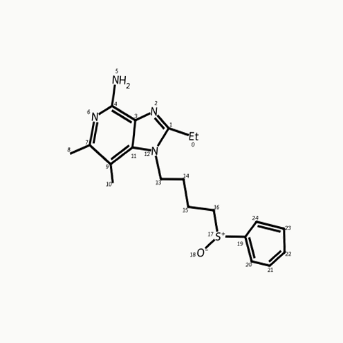 CCc1nc2c(N)nc(C)c(C)c2n1CCCC[S+]([O-])c1ccccc1